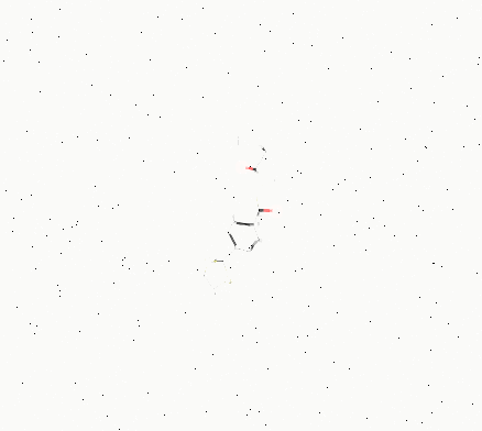 C=CC(=O)SSC(=O)c1ccc(C2SCCS2)cc1